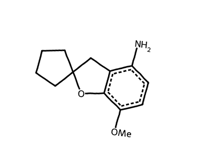 COc1ccc(N)c2c1OC1(CCCC1)C2